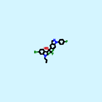 C=CCN1CC(C(O)(c2ccc3c(cnn3-c3ccc(F)cc3)c2)C(F)(F)F)c2ccc(Br)cc21